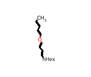 CC=CC=COC=CC=CCCCCCC